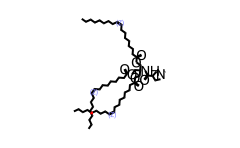 CCCCCCCC/C=C\CCCCCCCC(=O)OCC(COC(=O)CCCCCCC/C=C\CCCCCCCC)(COC(=O)CCCCCCC/C=C\CCCCCCCC)NC(=O)C1CCN(C)C1